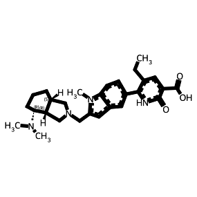 CCc1cc(C(=O)O)c(=O)[nH]c1-c1ccc2c(c1)cc(CN1C[C@H]3CCC[C@@H](N(C)C)[C@H]3C1)n2C